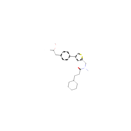 CCOC(Cc1ccc(-c2csc(CN(C)C(=O)CCC3CCCCC3)c2)cc1)C(=O)O